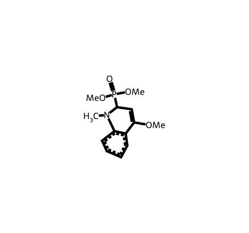 COC1=CC(P(=O)(OC)OC)N(C)c2ccccc21